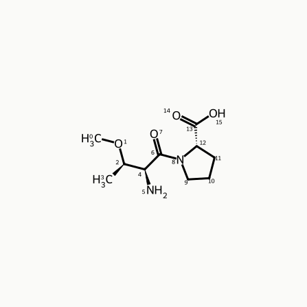 CO[C@H](C)[C@H](N)C(=O)N1CCC[C@H]1C(=O)O